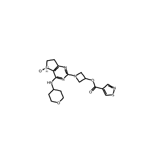 O=C(OC1CN(c2nc3c(c(NC4CCOCC4)n2)[S@@+]([O-])CC3)C1)c1cnsc1